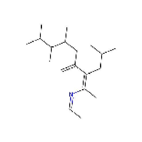 C=C(CC(C)C(C)C(C)C)/C(CC(C)C)=C(C)\N=C/C